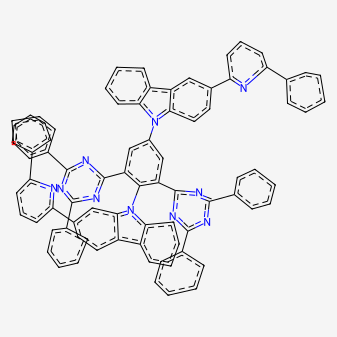 c1ccc(-c2cccc(-c3ccc4c(c3)c3ccccc3n4-c3cc(-c4nc(-c5ccccc5)nc(-c5ccccc5)n4)c(-n4c5ccccc5c5ccc(-c6cccc(-c7ccccc7)n6)cc54)c(-c4nc(-c5ccccc5)nc(-c5ccccc5)n4)c3)n2)cc1